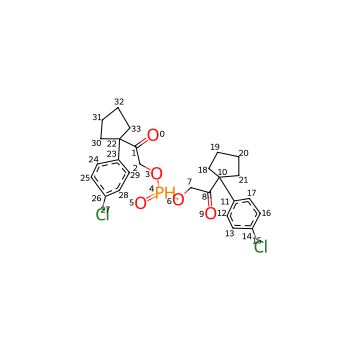 O=C(CO[PH](=O)OCC(=O)C1(c2ccc(Cl)cc2)CCCC1)C1(c2ccc(Cl)cc2)CCCC1